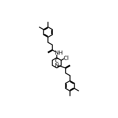 C=C(CCc1ccc(C)c(C)c1)NC12CCC(CC1Cl)N(C(=C)CCc1ccc(C)c(C)c1)C2